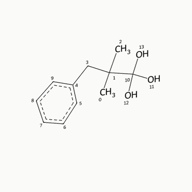 CC(C)(Cc1ccccc1)C(O)(O)O